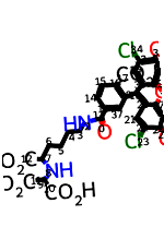 O=C(NCCCCC(NC(C(=O)O)C(=O)O)C(=O)O)c1ccc(C(=O)O)c(-c2c3cc(Cl)c(=O)cc-3oc3cc(O)c(Cl)cc23)c1